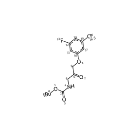 CC(C)(C)OC(=O)NCC(=O)COc1cc(F)cc(C(F)(F)F)c1